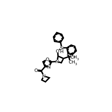 CC(C)(C)C1CN(c2nc(C(=O)N3CCC3)co2)C1O[SiH](c1ccccc1)c1ccccc1